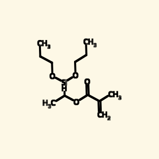 C=C(C)C(=O)OC(C)[SiH](OCCC)OCCC